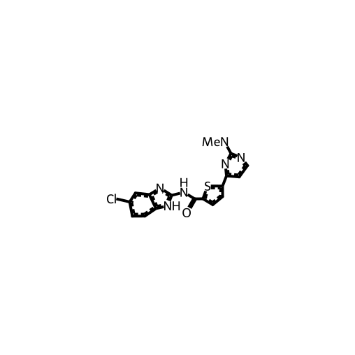 CNc1nccc(-c2ccc(C(=O)Nc3nc4cc(Cl)ccc4[nH]3)s2)n1